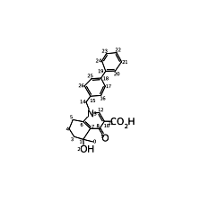 CC1(O)CCCc2c1c(=O)c(C(=O)O)cn2Cc1ccc(-c2ccccc2)cc1